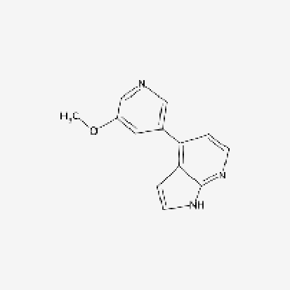 COc1cncc(-c2ccnc3[nH]ccc23)c1